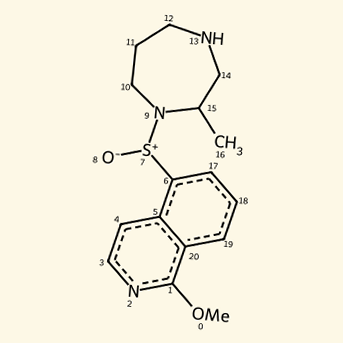 COc1nccc2c([S+]([O-])N3CCCNCC3C)cccc12